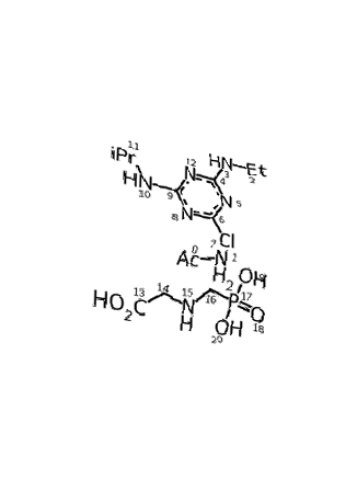 CC(N)=O.CCNc1nc(Cl)nc(NC(C)C)n1.O=C(O)CNCP(=O)(O)O